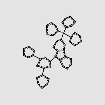 c1ccc(-c2nc(-c3ccccc3)nc(-n3c4ccccc4c4cc([Si](c5ccccc5)(c5ccccc5)c5ccccc5)ccc43)n2)cc1